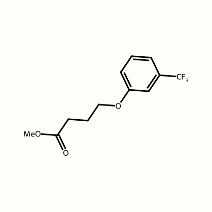 COC(=O)CCCOc1cccc(C(F)(F)F)c1